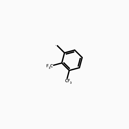 [CH2]c1cccc(C(F)(F)F)c1C(F)(F)F